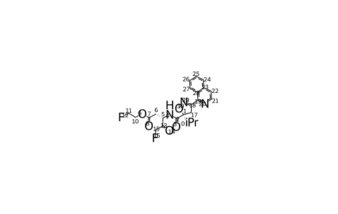 CC(C)[C@@]1(C(=O)N[C@@H](CC(=O)OCCF)C(=O)CF)CC(c2nccc3ccccc23)=NO1